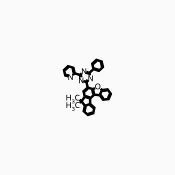 CC1(C)c2ccccc2-c2c1cc(-c1nc(-c3ccccc3)nc(-c3ccccn3)n1)c1oc3ccccc3c21